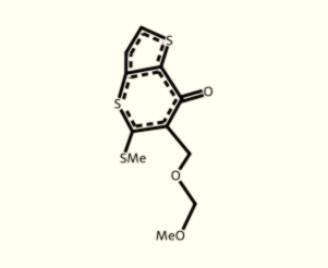 COCOCc1c(SC)sc2ccsc2c1=O